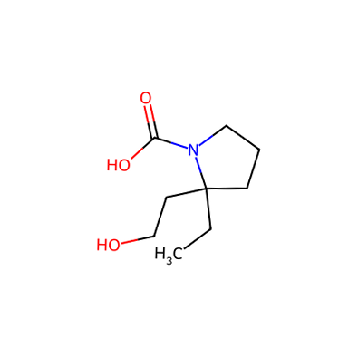 CCC1(CCO)CCCN1C(=O)O